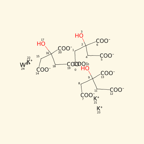 O=C([O-])CC(O)(CC(=O)[O-])C(=O)[O-].O=C([O-])CC(O)(CC(=O)[O-])C(=O)[O-].O=C([O-])CC(O)(CC(=O)[O-])C(=O)[O-].[K+].[K+].[K+].[W+6]